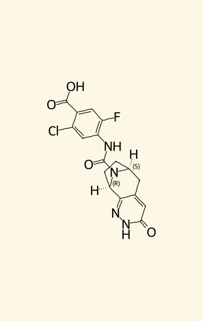 O=C(O)c1cc(F)c(NC(=O)N2[C@H]3CC[C@@H]2c2n[nH]c(=O)cc2C3)cc1Cl